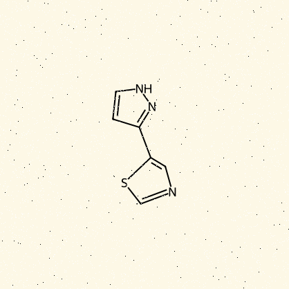 [c]1ncc(-c2cc[nH]n2)s1